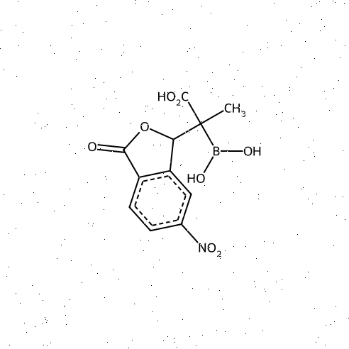 CC(B(O)O)(C(=O)O)C1OC(=O)c2ccc([N+](=O)[O-])cc21